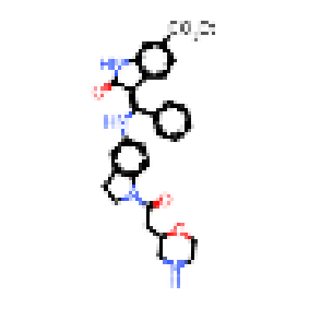 CCOC(=O)c1ccc2c(c1)NC(=O)/C2=C(\Nc1ccc2c(c1)CCN2C(=O)CC1CNCCO1)c1ccccc1